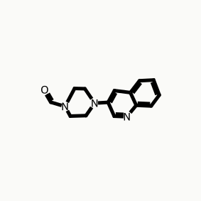 O=CN1CCN(c2cnc3ccccc3c2)CC1